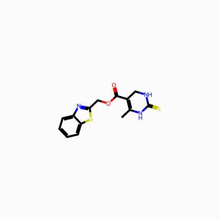 CC1=C(C(=O)OCc2nc3ccccc3s2)CNC(=S)N1